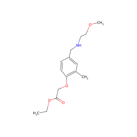 CCOC(=O)COc1ccc(CNCCOC)cc1C